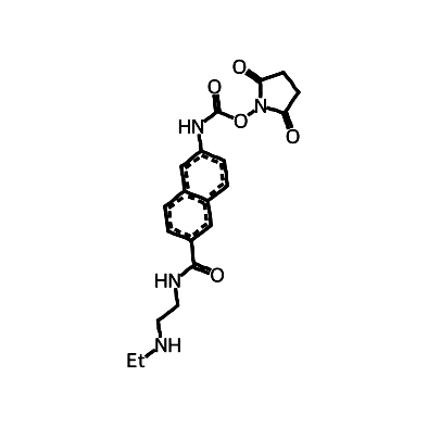 CCNCCNC(=O)c1ccc2cc(NC(=O)ON3C(=O)CCC3=O)ccc2c1